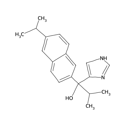 CC(C)c1ccc2cc(C(O)(c3c[nH]cn3)C(C)C)ccc2c1